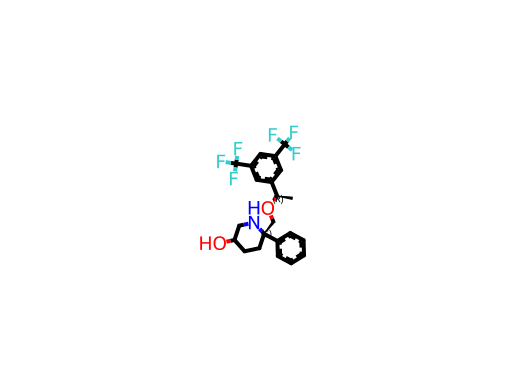 C[C@@H](OC[C@@]1(c2ccccc2)CCC(O)CN1)c1cc(C(F)(F)F)cc(C(F)(F)F)c1